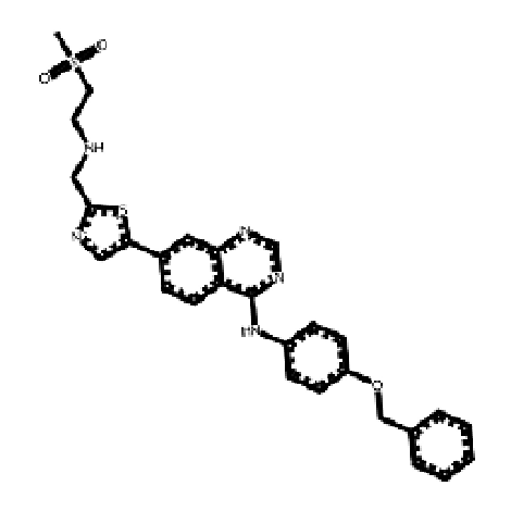 CS(=O)(=O)CCNCc1ncc(-c2ccc3c(Nc4ccc(OCc5ccccc5)cc4)ncnc3c2)s1